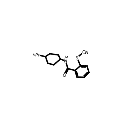 CCCC1CCC(NC(=O)c2ccccc2SC#N)CC1